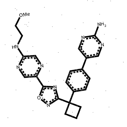 COCCNc1cnc(-c2nc(C3(c4ccc(-c5cnc(N)nc5)cc4)CCC3)no2)cn1